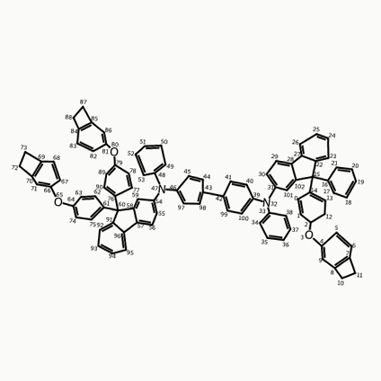 C1=CC(Oc2ccc3c(c2)CC3)CC=C1C1(c2ccccc2)c2ccccc2-c2ccc(N(c3ccccc3)c3ccc(-c4ccc(N(c5ccccc5)c5ccc6c(c5)C(c5ccc(Oc7ccc8c(c7)CC8)cc5)(c5ccc(Oc7ccc8c(c7)CC8)cc5)c5ccccc5-6)cc4)cc3)cc21